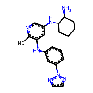 N#Cc1ncc(N[C@@H]2CCCC[C@@H]2N)cc1Nc1cccc(-n2nccn2)c1